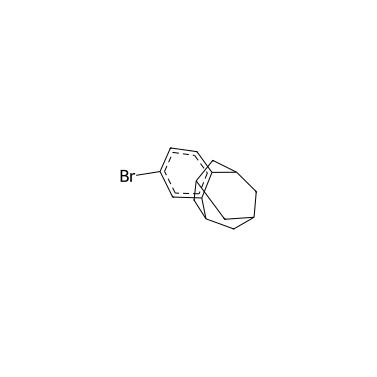 Brc1ccc2c(c1)C1CC3CC(CC2C3)C1